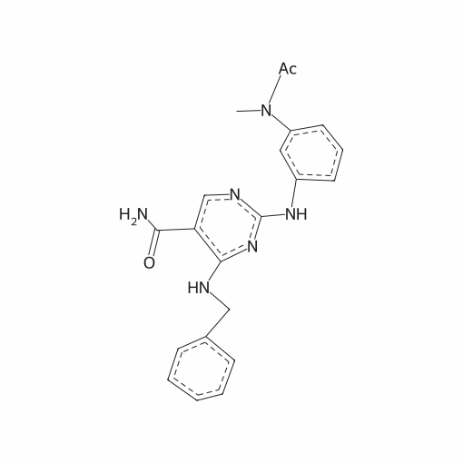 CC(=O)N(C)c1cccc(Nc2ncc(C(N)=O)c(NCc3ccccc3)n2)c1